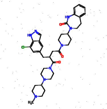 CN1CCC(N2CCN(C(=O)C(CC(=O)N3CCC(N4CCc5ccccc5NC4=O)CC3)Cc3cc(Cl)c4[nH]ncc4c3)CC2)CC1